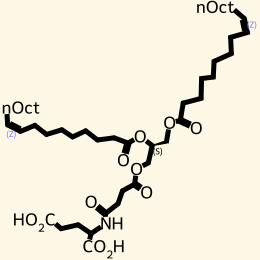 CCCCCCCC/C=C\CCCCCCCC(=O)OC[C@@H](COC(=O)CCC(=O)NC(CCC(=O)O)C(=O)O)OC(=O)CCCCCCC/C=C\CCCCCCCC